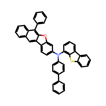 c1ccc(-c2ccc(N(c3ccc4c(c3)oc3c(-c5ccccc5)c5ccccc5cc34)c3cccc4c3sc3ccccc34)cc2)cc1